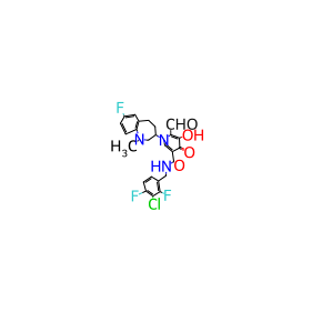 CN1CC(n2cc(C(=O)NCc3ccc(F)c(Cl)c3F)c(=O)c(O)c2C=O)CCc2cc(F)ccc21